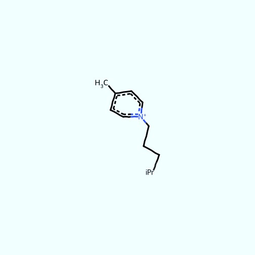 Cc1cc[n+](CCCC(C)C)cc1